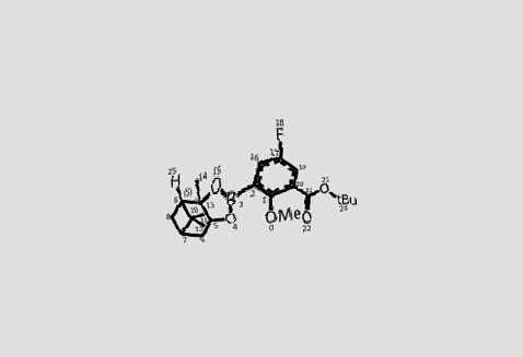 COc1c(B2OC3CC4C[C@@H](C4(C)C)[C@]3(C)O2)cc(F)cc1C(=O)OC(C)(C)C